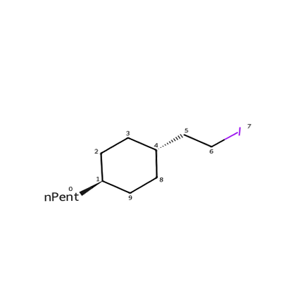 CCCCC[C@H]1CC[C@H](CCI)CC1